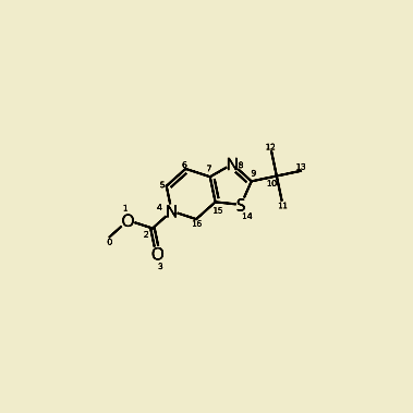 COC(=O)N1C=Cc2nc(C(C)(C)C)sc2C1